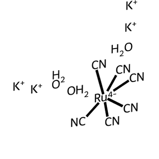 N#[C][Ru-4]([C]#N)([C]#N)([C]#N)([C]#N)[C]#N.O.O.O.[K+].[K+].[K+].[K+]